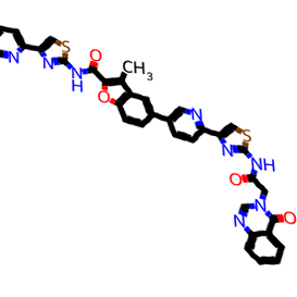 Cc1c(C(=O)Nc2nc(-c3ccccn3)cs2)oc2ccc(-c3ccc(-c4csc(NC(=O)Cn5cnc6ccccc6c5=O)n4)nc3)cc12